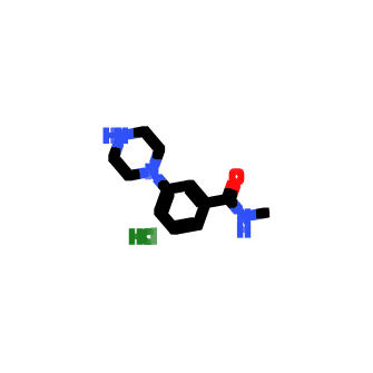 CNC(=O)c1cccc(N2CCNCC2)c1.Cl